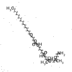 CCCCCCCCCCCCCCCCCOCCCOC(=O)NCCCCCC(=O)NCCC(C)(C)OCCC(C)OCCN